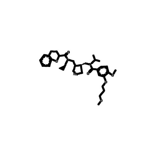 COCCCOc1cc(C(=O)N(C[C@@H]2CNCC2CN(C(=O)C2CCc3ccccc3O2)C2CC2)C(C)C)ccc1OC